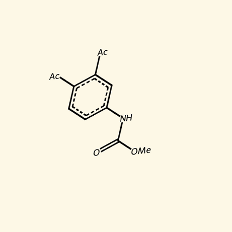 [CH2]OC(=O)Nc1ccc(C(C)=O)c(C(C)=O)c1